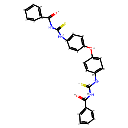 O=C(NC(=S)Nc1ccc(Oc2ccc(NC(=S)NC(=O)c3ccccc3)cc2)cc1)c1ccccc1